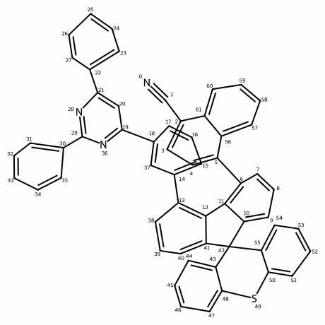 N#Cc1ccc(-c2cccc3c2-c2c(-c4cccc(-c5cc(-c6ccccc6)nc(-c6ccccc6)n5)c4)cccc2C32c3ccccc3Sc3ccccc32)c2ccccc12